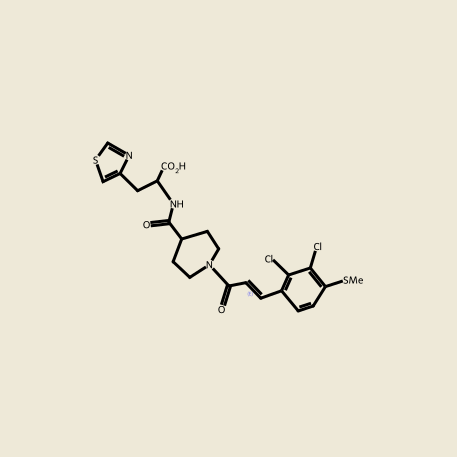 CSc1ccc(/C=C/C(=O)N2CCC(C(=O)NC(Cc3cscn3)C(=O)O)CC2)c(Cl)c1Cl